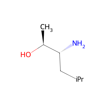 CC(C)C[C@@H](N)[C@H](C)O